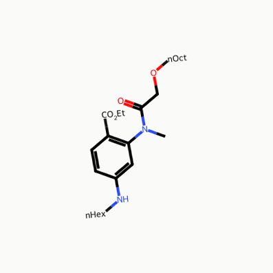 CCCCCCCCOCC(=O)N(C)c1cc(NCCCCCC)ccc1C(=O)OCC